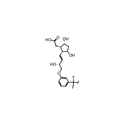 O=C(O)C[C@@H]1[C@H](C=C[C@@H](O)COc2cccc(C(F)(F)F)c2)[C@H](O)C[C@H]1O